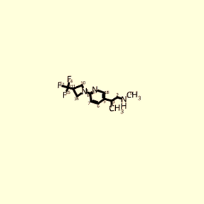 CNCC(C)c1ccc(N2CC(C(F)(F)F)C2)nc1